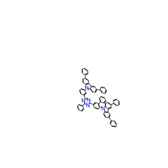 c1ccc(-c2ccc3c(c2)c2cc(-c4ccccc4)ccc2n3-c2cccc(-c3nc(-c4ccccc4)nc(-c4ccc(-n5c6ccc(-c7ccccc7)cc6c6cc(-c7ccccc7)ccc65)c(-c5ccccc5)c4)n3)c2)cc1